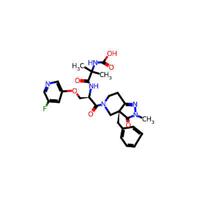 CN1N=C2CCN(C(=O)[C@@H](COc3cncc(F)c3)NC(=O)C(C)(C)NC(=O)O)C[C@@]2(Cc2ccccc2)C1=O